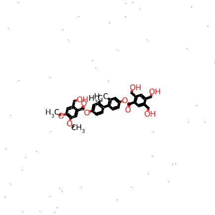 COc1cc(CO)c(C(=O)Oc2ccc(-c3ccc(OC(=O)c4cc(CO)c(CO)cc4CO)cc3C)c(C)c2)cc1OC